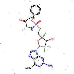 CNc1nc(N)nc2c1ncn2[C@@H]1O[C@](F)(CO[P@](=O)(N[C@H](C)C(=O)OC)Oc2ccccc2)[C@@H](O)[C@@]1(C)F